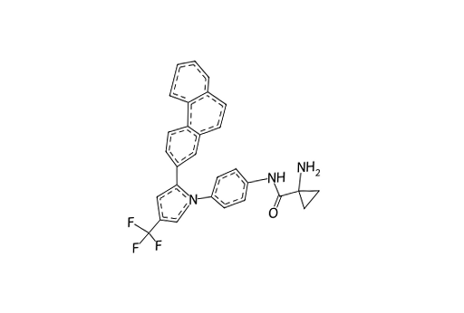 NC1(C(=O)Nc2ccc(-n3cc(C(F)(F)F)cc3-c3ccc4c(ccc5ccccc54)c3)cc2)CC1